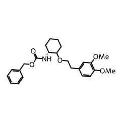 COc1ccc(CCOC2CCCC[C@H]2NC(=O)OCc2ccccc2)cc1OC